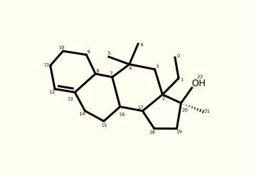 CCC12CC(C)(C)C3C4CCCC=C4CCC3C1CC[C@]2(C)O